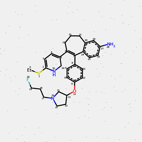 CCSC1=CC=C(C2=C(c3ccc(OC4CCN(CCCF)C4)cc3)c3ccc(N)cc3CCC2)CN1